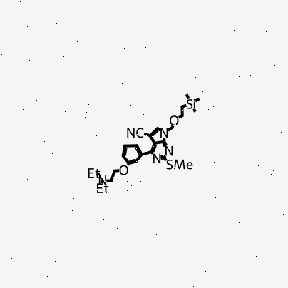 CCN(CC)CCOc1cccc(-c2nc(SC)nc3c2c(C#N)cn3COCC[Si](C)(C)C)c1